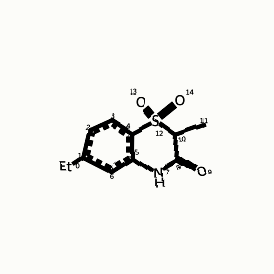 CCc1ccc2c(c1)NC(=O)C(C)S2(=O)=O